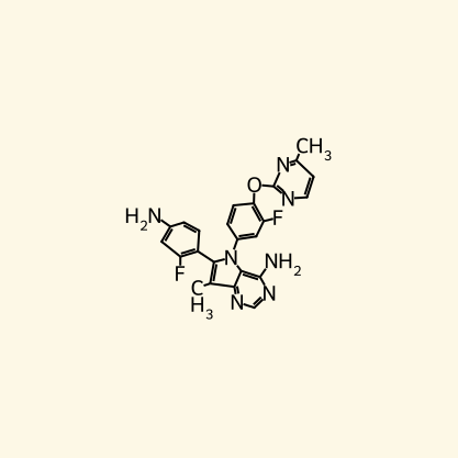 Cc1ccnc(Oc2ccc(-n3c(-c4ccc(N)cc4F)c(C)c4ncnc(N)c43)cc2F)n1